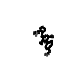 Nc1cnccc1CN1CC(=O)N(c2ccc(OC(F)(F)F)cc2)C1=O